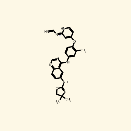 Cc1cc(Nc2ncnc3ccc(NC4=NC(C)(C)CO4)cc23)ccc1Oc1cc[nH]/c(=N\C=N)c1